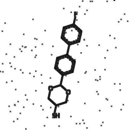 Fc1ccc(-c2ccc(C3OCC(S)CO3)cc2)cc1